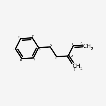 C=CC(=C)CCc1ccccc1